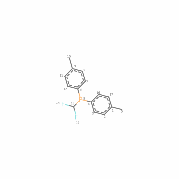 Cc1ccc(P(c2ccc(C)cc2)C(F)F)cc1